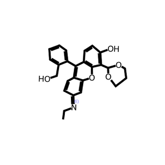 CC/N=c1\ccc2c(-c3ccccc3CO)c3ccc(O)c(C4OCCCO4)c3oc-2c1